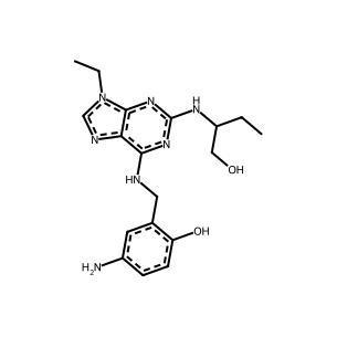 CCC(CO)Nc1nc(NCc2cc(N)ccc2O)c2ncn(CC)c2n1